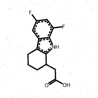 O=C(O)CC1CCCc2c1[nH]c1c(F)cc(F)cc21